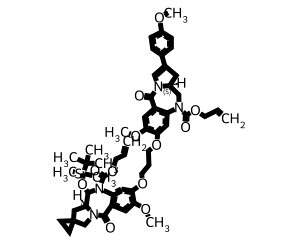 C=CCOC(=O)N1C[C@@H]2CC(c3ccc(OC)cc3)=CN2C(=O)c2cc(OC)c(OCCCOc3cc4c(cc3OC)C(=O)N3CC5(CC5)C[C@H]3C(O[Si](C)(C)C(C)(C)C)N4C(=O)OCC=C)cc21